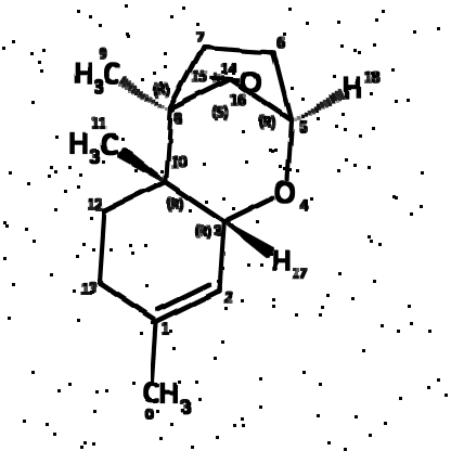 CC1=C[C@H]2O[C@@H]3CC[C@](C)([C@@]2(C)CC1)[C@]31CO1